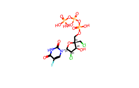 O=c1[nH]c(=O)n([C@@H]2O[C@](CCl)(COP(=O)(O)OP(=O)(O)OP(=O)(O)O)[C@@H](O)[C@H]2Cl)cc1F